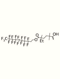 C=C(O)C(C)(C)CCC(C)(CC)C(=O)OCCC(F)(F)C(F)(F)C(F)(F)C(F)(F)C(F)(F)C(F)(F)C(F)(F)C(F)(F)F